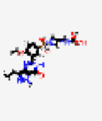 CCCc1nn(C)c2c(=O)[nH]c(-c3cc(S(=O)(=O)N4CC(CNC(=O)O)C4)ccc3OCC)nc12